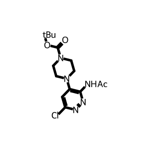 CC(=O)Nc1nnc(Cl)cc1N1CCN(C(=O)OC(C)(C)C)CC1